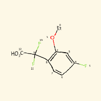 CCOc1cc(F)ccc1C(F)(F)C(=O)O